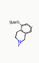 COc1c[c]cc2c1CCN(C)C2